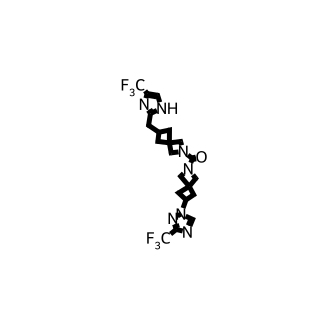 O=C(N1CC2(CC(Cc3nc(C(F)(F)F)c[nH]3)C2)C1)N1CC2(CC(n3cnc(C(F)(F)F)n3)C2)C1